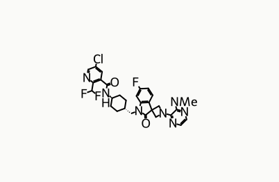 CNc1nccnc1N1CC2(C1)C(=O)N(C[C@H]1CC[C@H](NC(=O)c3cc(Cl)cnc3C(F)F)CC1)c1cc(F)ccc12